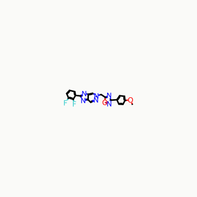 COc1ccc(-c2noc(Cn3cc4nc(-c5cccc(F)c5F)nc-4cn3)n2)cc1